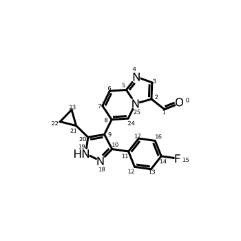 O=Cc1cnc2ccc(-c3c(-c4ccc(F)cc4)n[nH]c3C3CC3)cn12